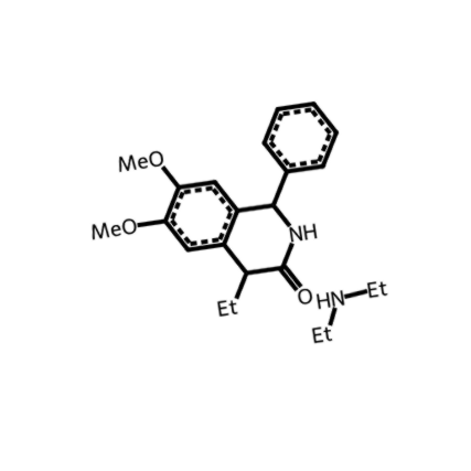 CCC1C(=O)NC(c2ccccc2)c2cc(OC)c(OC)cc21.CCNCC